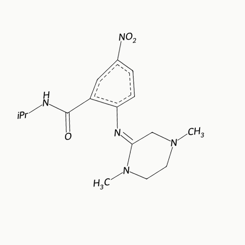 CC(C)NC(=O)c1cc([N+](=O)[O-])ccc1/N=C1\CN(C)CCN1C